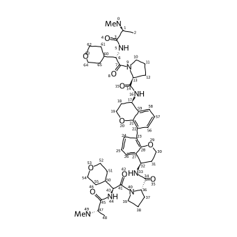 CN[C@@H](C)C(=O)N[C@H](C(=O)N1CCC[C@H]1C(=O)N[C@@H]1CCOc2c(-c3cccc4c3OCC[C@H]4NC(=O)[C@@H]3CCCN3C(=O)[C@@H](NC(=O)[C@H](C)NC)C3CCOCC3)cccc21)C1CCOCC1